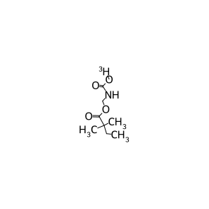 [3H]OC(=O)NCOC(=O)C(C)(C)CC